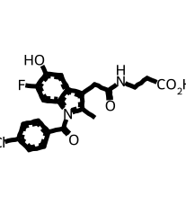 Cc1c(CC(=O)NCCC(=O)O)c2cc(O)c(F)cc2n1C(=O)c1ccc(Cl)cc1